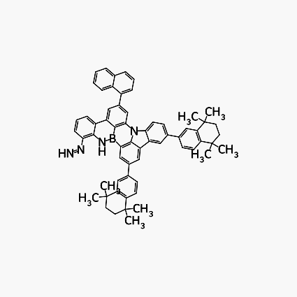 CC1(C)CCC(C)(C)c2cc(-c3ccc4c(c3)c3cc(-c5ccc6c(c5)C(C)(C)CCC6(C)C)cc5c3n4-c3cc(-c4cccc6ccccc46)cc4c3B5Nc3c(N=N)cccc3-4)ccc21